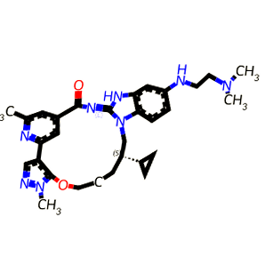 Cc1cc2cc(n1)-c1cnn(C)c1OCCC[C@@H](C1CC1)CN1/C(=N/C2=O)Nc2cc(NCCN(C)C)ccc21